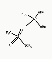 CCCC[N+](C)(CCCC)CCCC.O=S(=O)(NC(F)(F)F)C(F)(F)F